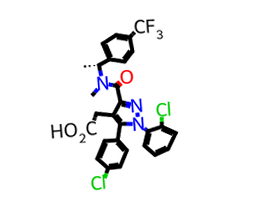 C[C@H](c1ccc(C(F)(F)F)cc1)N(C)C(=O)c1nn(-c2ccccc2Cl)c(-c2ccc(Cl)cc2)c1CC(=O)O